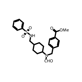 COC(=O)c1ccc(CN(C=O)C2CCC(CNS(=O)(=O)c3ccccc3)CC2)cc1